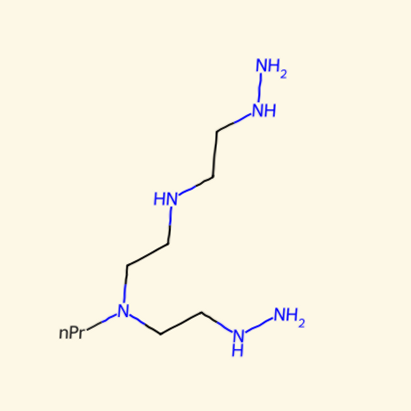 CCCN(CCNN)CCNCCNN